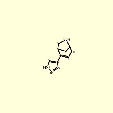 C1=C(c2cn[nH]c2)C2CNC(C1)C2